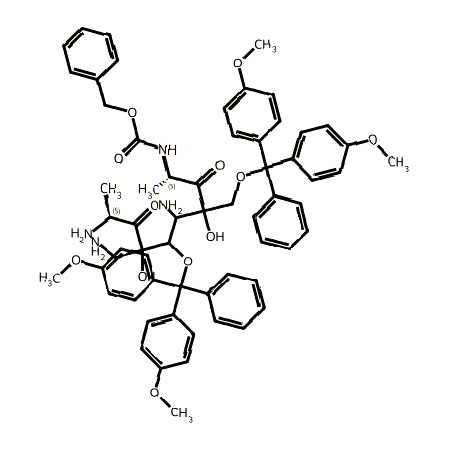 COc1ccc(C(OCC(O)(C(=O)[C@H](C)NC(=O)OCc2ccccc2)C(N)C(OC(c2ccccc2)(c2ccc(OC)cc2)c2ccc(OC)cc2)C(O)(CN)C(=O)[C@H](C)N)(c2ccccc2)c2ccc(OC)cc2)cc1